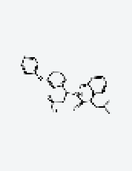 CC(C)CC(C(=O)NC(CC(=O)O)c1cccc(Oc2ccccc2)c1)n1ccccc1=O